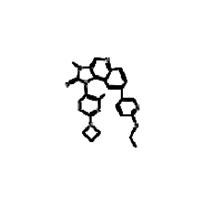 CCOc1ccc(-c2ccc3ncc4c(c3c2)n(-c2ccc(N3CCC3)nc2C)c(=O)n4C)cn1